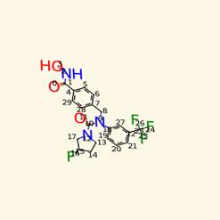 O=C(NO)c1ccc(CN(C(=O)N2CC[C@@H](F)C2)c2cccc(C(F)(F)F)c2)cc1